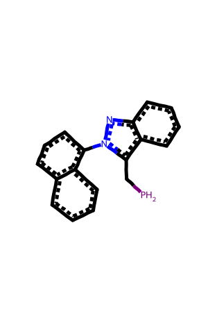 PCc1c2ccccc2nn1-c1cccc2ccccc12